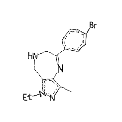 CCn1nc(C)c2c1CNCC(c1ccc(Br)cc1)=N2